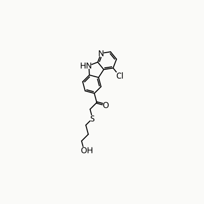 O=C(CSCCCO)c1ccc2[nH]c3nccc(Cl)c3c2c1